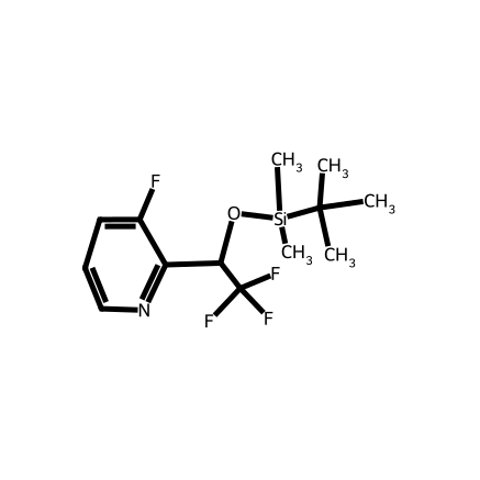 CC(C)(C)[Si](C)(C)OC(c1ncccc1F)C(F)(F)F